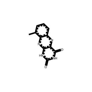 Cc1cccc2nc3c(=O)[nH]c(=O)[nH]c3nc12